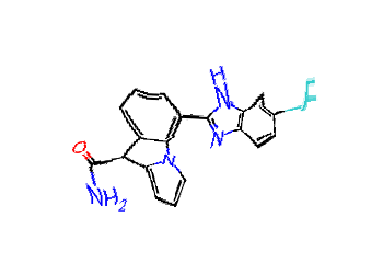 NC(=O)[C@H]1c2cccc(-c3nc4ccc(F)cc4[nH]3)c2-n2cccc21